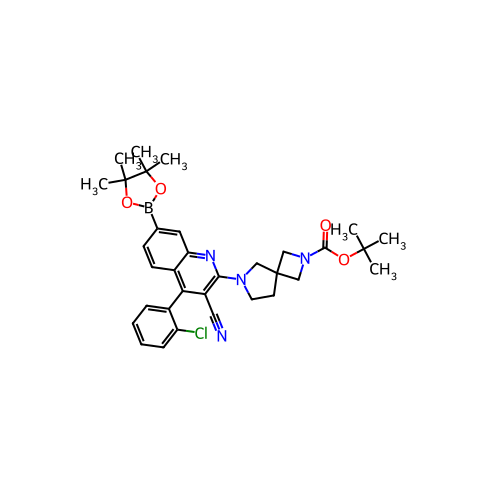 CC(C)(C)OC(=O)N1CC2(CCN(c3nc4cc(B5OC(C)(C)C(C)(C)O5)ccc4c(-c4ccccc4Cl)c3C#N)C2)C1